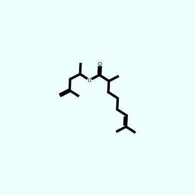 C=C(C)CC(C)OC(=O)C(C)CCCC=C(C)C